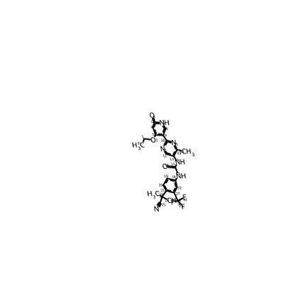 CCOc1cc(=O)[nH]cc1-c1ncc(NC(=O)Nc2ccc(C(C)(C)C#N)c(C(F)(F)F)c2)c(C)n1